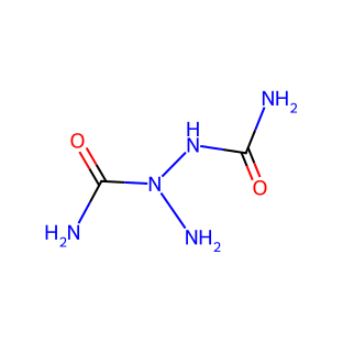 NC(=O)NN(N)C(N)=O